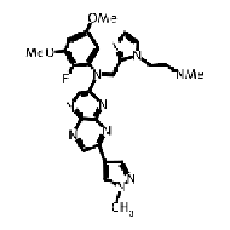 CNCCn1ccnc1CN(c1cnc2ncc(-c3cnn(C)c3)nc2n1)c1cc(OC)cc(OC)c1F